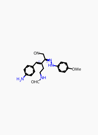 COc1ccc(N/N=C(CN=O)\C(=C\c2ccc(N)cc2)CCNC=O)cc1